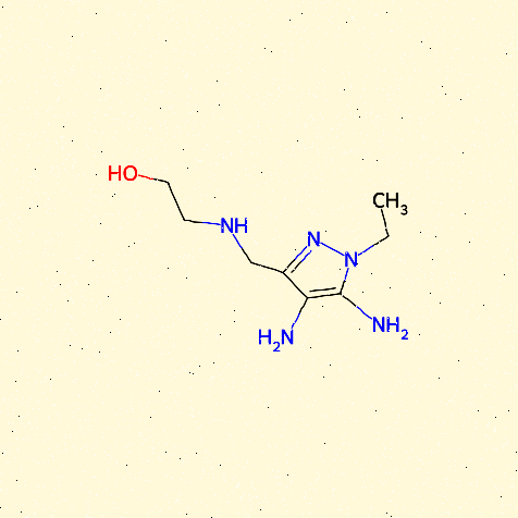 CCn1nc(CNCCO)c(N)c1N